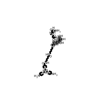 Nc1nc2c(ncn2[C@H]2C[C@@H](O)[C@@H](COP(=O)(O)OP(=O)(O)OP(=O)(O)OP(=O)(O)OP(=O)(O)OP(=O)(O)OCCCCCCNC(=O)CCCCCNC(=O)C3CCN(c4nc(N5CCC(N)CC5)nc(N5CCC(N)CC5)n4)CC3)O2)c(=O)[nH]1